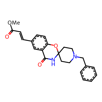 COC(=O)/C=C/c1ccc2c(c1)C(=O)NC1(CCN(Cc3ccccc3)CC1)O2